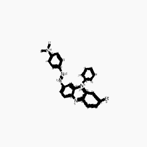 CCc1ccc2nc3ccc(N=Nc4ccc(N(C)C)cc4)cc3[n+](-c3ccccc3)c2c1